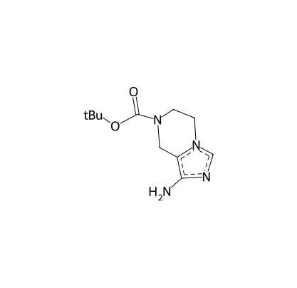 CC(C)(C)OC(=O)N1CCn2cnc(N)c2C1